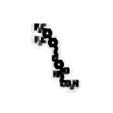 O=C(O)CCNC(=O)c1ccc(OCCCc2ccc(-c3ccc(C(F)(F)F)cc3C(F)(F)F)cc2)cc1